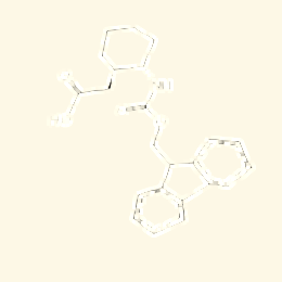 O=C(O)C[C@H]1CCCC[C@@H]1NC(=O)OCC1c2ccccc2-c2ccccc21